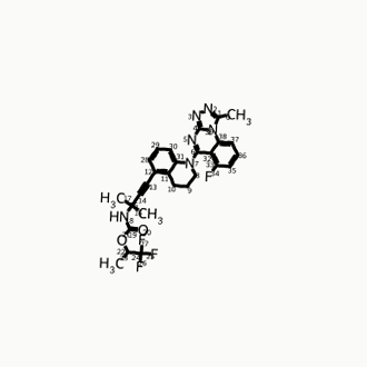 Cc1nnc2nc(N3CCCc4c(C#CC(C)(C)NC(=O)OC(C)C(F)(F)F)cccc43)c3c(F)cccc3n12